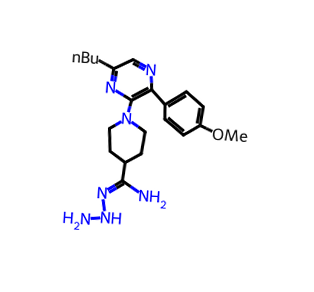 CCCCc1cnc(-c2ccc(OC)cc2)c(N2CCC(/C(N)=N/NN)CC2)n1